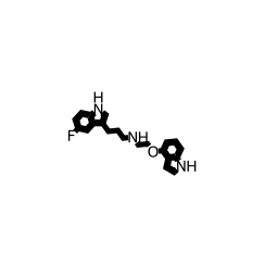 Fc1ccc2[nH]cc(CCCNCCOc3cccc4[nH]ccc34)c2c1